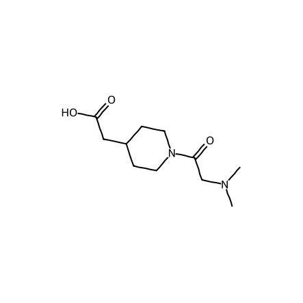 CN(C)CC(=O)N1CCC(CC(=O)O)CC1